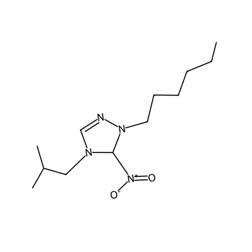 CCCCCCN1N=CN(CC(C)C)C1[N+](=O)[O-]